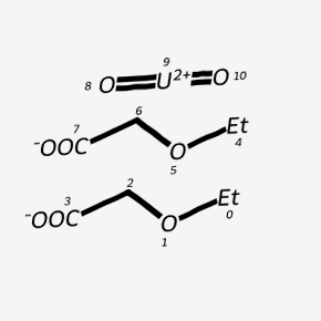 CCOCC(=O)[O-].CCOCC(=O)[O-].[O]=[U+2]=[O]